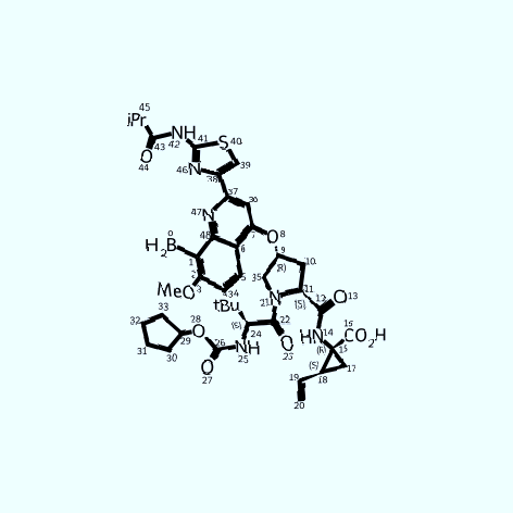 Bc1c(OC)ccc2c(O[C@@H]3C[C@@H](C(=O)N[C@]4(C(=O)O)C[C@H]4C=C)N(C(=O)[C@@H](NC(=O)OC4CCCC4)C(C)(C)C)C3)cc(-c3csc(NC(=O)C(C)C)n3)nc12